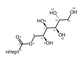 CCCCCCCC(=O)OC[C@H](O)[C@@H](O)[C@H](O)[C@H](O)CO